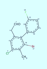 Cc1c(Cl)cc(CC=O)c(-c2cccc(F)c2)c1Br